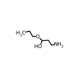 [CH2]CCOC(O)CCN